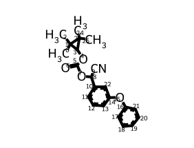 CC1(C)C(OC(=O)OC(C#N)c2cccc(Oc3ccccc3)c2)C1(C)C